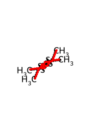 CCCCCCCCCCC(CCCCCCCC)CCN1C(=S)c2ccc3c4ccc5c6c(ccc(c7ccc(c2c37)C1=S)c64)C(=S)N(CCC(CCCCCCCC)CCCCCCCCCC)C5=S